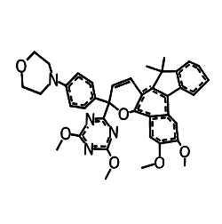 COc1nc(OC)nc(C2(c3ccc(N4CCOCC4)cc3)C=Cc3c4c(c5cc(OC)c(OC)cc5c3O2)-c2ccccc2C4(C)C)n1